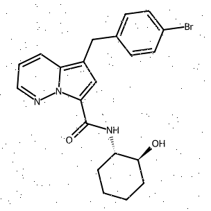 O=C(N[C@H]1CCCC[C@@H]1O)c1cc(Cc2ccc(Br)cc2)c2cccnn12